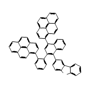 c1ccc(-c2ccc3ccc4cccc5ccc2c3c45)c(-c2cc(-c3ccc4ccc5cccc6ccc3c4c56)c3ccccc3c2-c2ccc3oc4ccccc4c3c2)c1